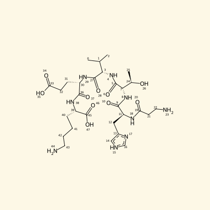 CC(C)[C@H](NC(=O)[C@@H](NC(=O)[C@H](Cc1c[nH]cn1)NC(=O)CCN)[C@@H](C)O)C(=O)N[C@@H](CCC(=O)O)C(=O)N[C@@H](CCCCN)C(=O)O